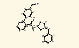 O=Cc1ccc(-c2ccccc2C(=O)NC2CCN(Cc3ccccc3)C2)cc1